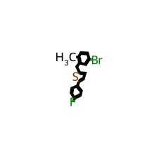 Cc1ccc(Br)cc1Cc1ccc(-c2ccc(F)cc2)s1